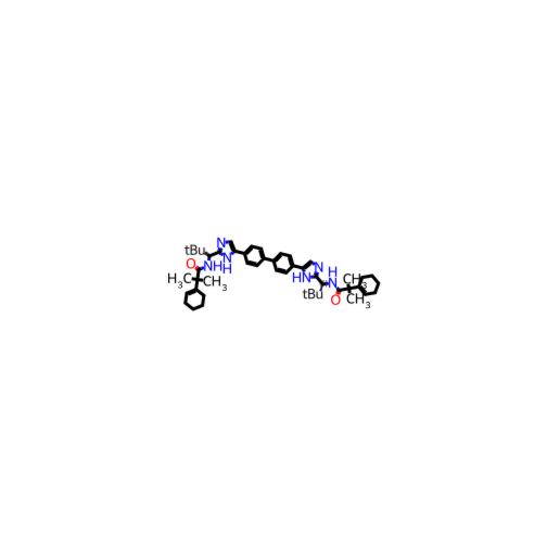 CC(C)(C(=O)NC(c1ncc(-c2ccc(-c3ccc(-c4cnc([C@@H](NC(=O)C(C)(C)C5=CCCCC5)C(C)(C)C)[nH]4)cc3)cc2)[nH]1)C(C)(C)C)C1=CCCCC1